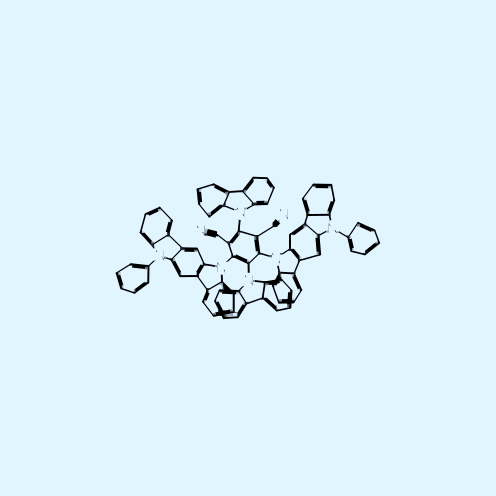 N#Cc1c(-n2c3ccccc3c3ccccc32)c(C#N)c(-n2c3ccccc3c3cc4c(cc32)c2ccccc2n4-c2ccccc2)c(-n2c3ccccc3c3ccccc32)c1-n1c2ccccc2c2cc3c(cc21)c1ccccc1n3-c1ccccc1